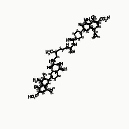 CC(CCNC(=N)NC(=N)N1CCN(c2cc3c(c(N)c2F)c(=O)c(C(=O)O)cn3C2CC2)CC1)CNC(=N)NC(=N)N1CCN(c2cc3c(c(N)c2F)c(=O)c(C(=O)O)cn3C2CC2)CC1